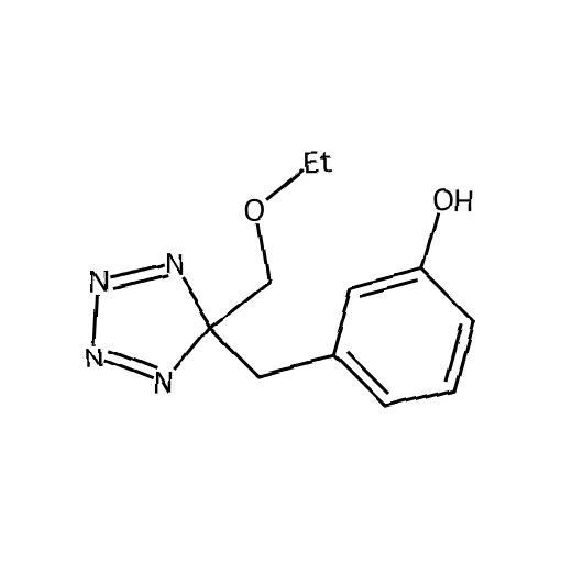 CCOCC1(Cc2cccc(O)c2)N=NN=N1